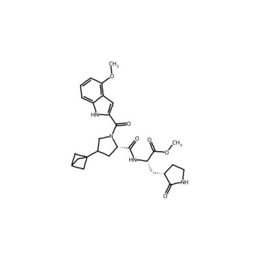 COC(=O)[C@H](C[C@@H]1CCNC1=O)NC(=O)[C@@H]1CC(C23CC(C2)C3)CN1C(=O)c1cc2c(OC)cccc2[nH]1